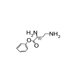 NCC[C@H](N)C(=O)Oc1ccccc1